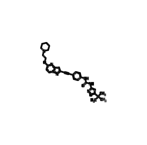 CC(C)(C)c1cc(NC(=O)Nc2ccc(C#Cc3cc4nc(OCCN5CCCCC5)ccn4n3)cc2)no1